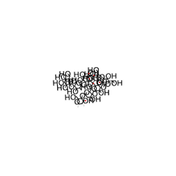 CC1C(O)[C@H](O[C@@H]2OC(CO)[C@H](O)C(O)[C@@H]2O)[C@H](O)O[C@H]1O[C@@H]1C(O)[C@H](O)C(CO)O[C@@H]1OCC1O[C@@H](O[C@@H]2C(CO)O[C@@H](O[C@@H]3C(CO)O[C@@H](C)[C@@H](C)C3O)[C@@H](C)C2O)C(O)C(OC2O[C@H](CO)[C@@H](O)C(O)C2O[C@@H]2OC(CO)[C@@H](O)C(O)[C@@H]2C)[C@@H]1O